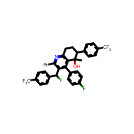 CC(C)c1nc2c(c(-c3ccc(F)cc3)c1C(F)c1ccc(C(F)(F)F)cc1)C(C)(O)C(c1ccc(C(F)(F)F)cc1)CC2